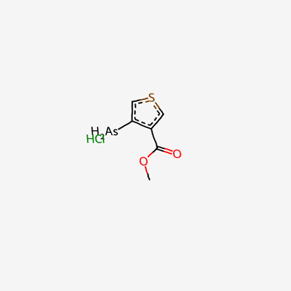 COC(=O)c1cscc1[AsH2].Cl